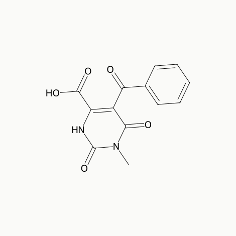 Cn1c(=O)[nH]c(C(=O)O)c(C(=O)c2ccccc2)c1=O